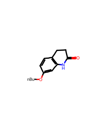 CCCCOc1ccc2c(c1)NC(=O)CC2